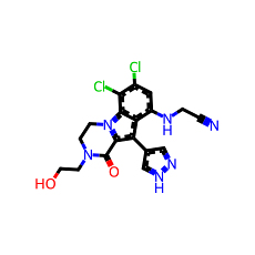 N#CCNc1cc(Cl)c(Cl)c2c1c(-c1cn[nH]c1)c1n2CCN(CCO)C1=O